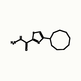 NNC(=O)c1nc(C2CCCCCCCC2)cs1